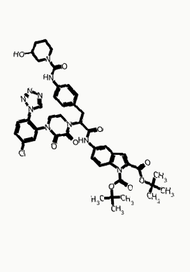 CC(C)(C)OC(=O)c1cc2cc(NC(=O)C(Cc3ccc(NC(=O)N4CCC[C@H](O)C4)cc3)N3CCN(c4cc(Cl)ccc4-n4cnnn4)C(=O)C3=O)ccc2n1C(=O)OC(C)(C)C